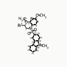 COc1ccc(N(CCBr)S(=O)(=O)c2ccc3c(c2)c2ccccc2n3C)c(OC)n1